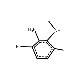 CNc1c(C)ccc(Br)c1P